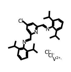 CC(C)c1cccc(C(C)C)c1N=Cc1cc(Cl)cc(C=Nc2c(C(C)C)cccc2C(C)C)n1.[Cl-].[Cl-].[V+2]